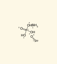 O=P(O)(O)O.[BiH3].[O]=[Sn]